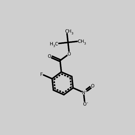 CC(C)(C)OC(=O)c1cc([N+](=O)[O-])ccc1F